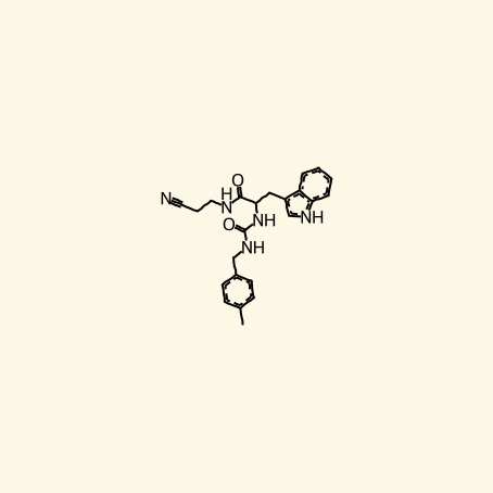 Cc1ccc(CNC(=O)NC(Cc2c[nH]c3ccccc23)C(=O)NCCC#N)cc1